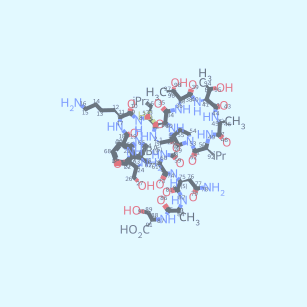 CC[C@H](C)[C@H](NC(=O)[C@H](CC(C)C)NC(=O)[C@H](CCCCN)NC(=O)CNC(=O)[C@@H](N)CO)C(=O)N[C@@H](CS)C(=O)N[C@H](C(=O)N[C@H](C(=O)N[C@@H](C)C(=O)N[C@H](C(=O)N1CCC[C@H]1C(=O)N[C@@H](Cc1c[nH]c2ccccc12)C(=O)N[C@@H](CC(N)=O)C(=O)N[C@@H](C)C(=O)N[C@@H](CO)C(=O)O)C(C)C)[C@@H](C)O)[C@@H](C)O